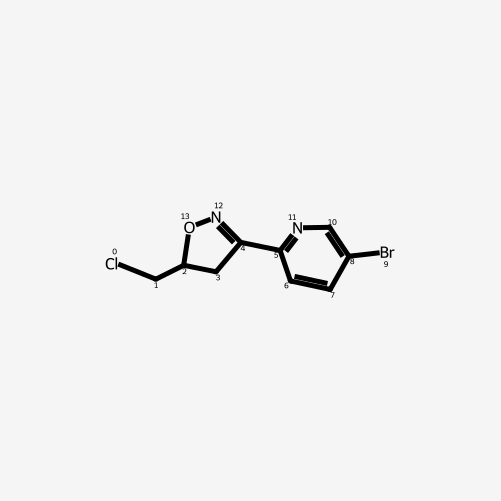 ClCC1CC(c2ccc(Br)cn2)=NO1